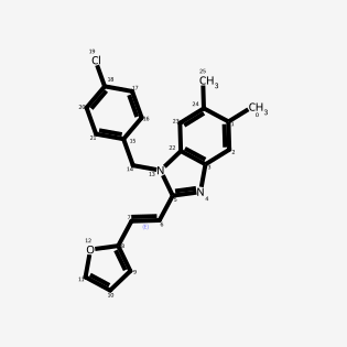 Cc1cc2nc(/C=C/c3ccco3)n(Cc3ccc(Cl)cc3)c2cc1C